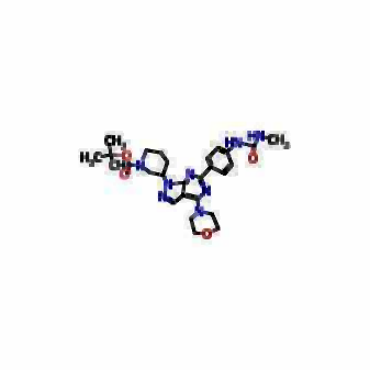 CNC(=O)Nc1ccc(-c2nc(N3CCOCC3)c3cnn([C@@H]4CCCN(C(=O)OC(C)(C)C)C4)c3n2)cc1